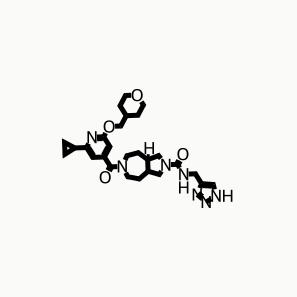 O=C(NCc1c[nH]nn1)N1CC2CCN(C(=O)c3cc(OCC4CCOCC4)nc(C4CC4)c3)CC[C@@H]2C1